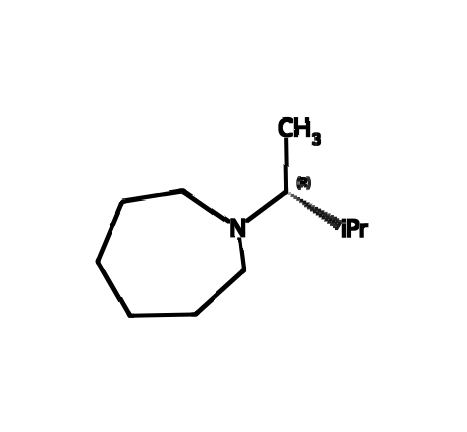 CC(C)[C@@H](C)N1CCCCCC1